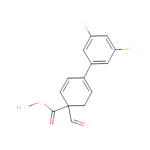 COC(=O)C1(C=O)C=CC(c2cc(F)cc(F)c2)=CC1